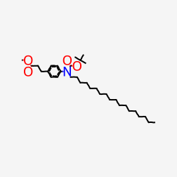 CCCCCCCCCCCCCCCCCCN(C(=O)OC(C)(C)C)c1ccc(CCC(=O)OC)cc1